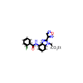 CCOC(=O)Cn1c(-c2cnon2)nc2c(NC(=O)c3ccccc3F)cccc21